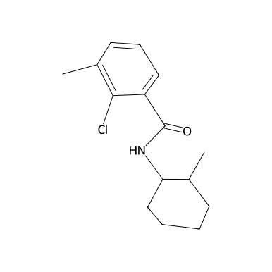 Cc1cccc(C(=O)NC2CCCCC2C)c1Cl